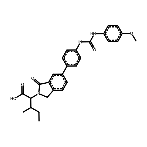 CCC(C)C(C(=O)O)N1Cc2ccc(-c3ccc(NC(=O)Nc4ccc(OC)cc4)cc3)cc2C1=O